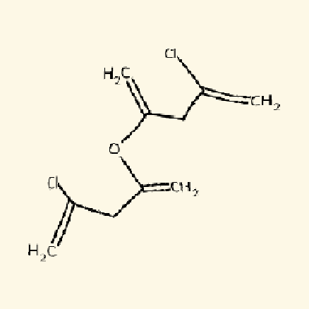 C=C(Cl)CC(=C)OC(=C)CC(=C)Cl